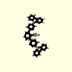 CC(C)(C)c1c(-c2ccc(-n3c4ccccc4c4ccccc43)cc2)cccc1-c1ccc(-n2c3ccccc3c3ccccc32)cc1